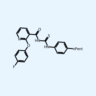 CCCCCc1ccc(NC(=S)NC(=O)c2cccnc2Oc2ccc(F)cc2)cc1